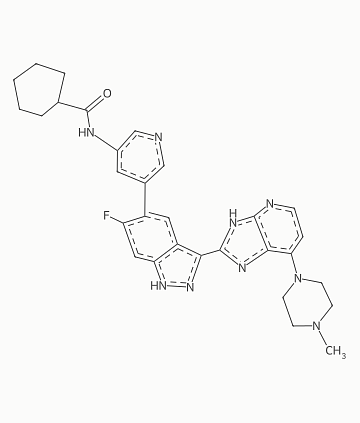 CN1CCN(c2ccnc3[nH]c(-c4n[nH]c5cc(F)c(-c6cncc(NC(=O)C7CCCCC7)c6)cc45)nc23)CC1